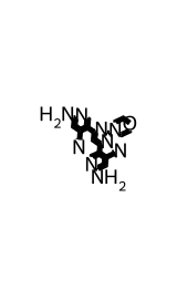 N#Cc1cc(N)ncc1-c1cc(-c2cnc(N)cc2C#N)nc(N2CCOCC2)n1